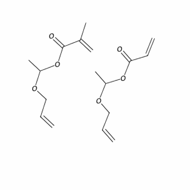 C=CCOC(C)OC(=O)C(=C)C.C=CCOC(C)OC(=O)C=C